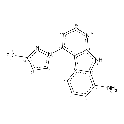 Nc1cccc2c1[nH]c1nccc(-n3ccc(C(F)(F)F)n3)c12